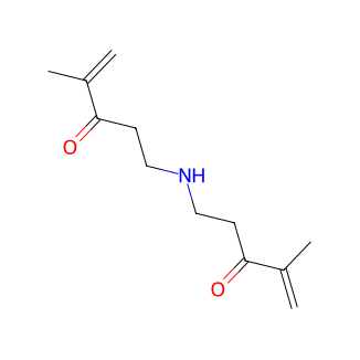 C=C(C)C(=O)CCNCCC(=O)C(=C)C